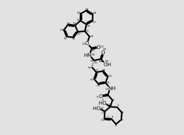 O=C(CC1(O)CCCC/C=C/C1O)Nc1ccc(C[C@H](NC(=O)OCC2c3ccccc3-c3ccccc32)C(=O)O)cc1